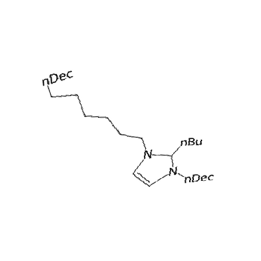 CCCCCCCCCCCCCCCCN1C=CN(CCCCCCCCCC)C1CCCC